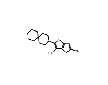 Cc1cc2sc(C3CCC4(CCCCC4)CC3)c(C)c2s1